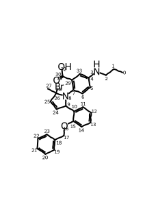 CCCNc1ccc(N2C(c3ccccc3OCc3ccccc3)C=CC2(C)Br)c(C(=O)O)c1